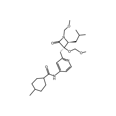 COCO[C@@]1(Cc2cc(NC(=O)C3CCC(C)CC3)ccn2)C(=O)N(COC)[C@H]1CC(C)C